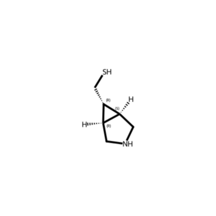 SC[C@@H]1[C@H]2CNC[C@@H]12